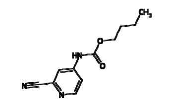 CCCCOC(=O)Nc1ccnc(C#N)c1